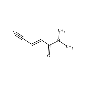 CN(C)C(=O)C=CC#N